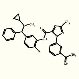 CN(C1CC1)C(c1ccccc1)c1ccc(F)c(NC(=O)c2cc(C(F)(F)F)nn2-c2cccc(C(=N)N)c2)c1